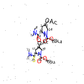 CC(=O)O[C@@H]1C[C@@H](C(=O)N(C)C)N(C(=O)OC(C)(C)C)C1.CC(=O)O[C@@H]1C[C@@H](C(=S)N(C)C)N(C(=O)OC(C)(C)C)C1